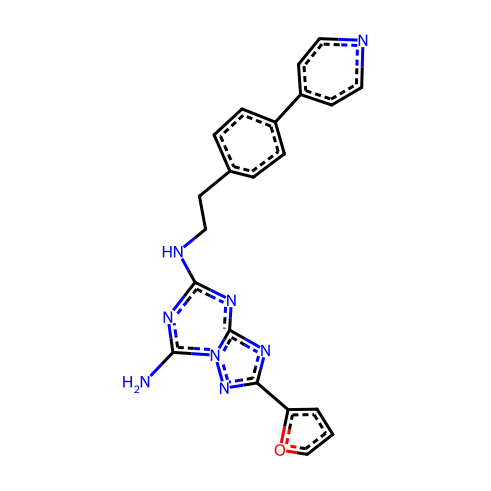 Nc1nc(NCCc2ccc(-c3ccncc3)cc2)nc2nc(-c3ccco3)nn12